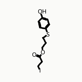 O=C(CCI)OCCCSc1ccc(O)cc1